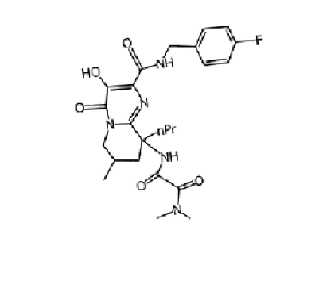 CCCC1(NC(=O)C(=O)N(C)C)CC(C)Cn2c1nc(C(=O)NCc1ccc(F)cc1)c(O)c2=O